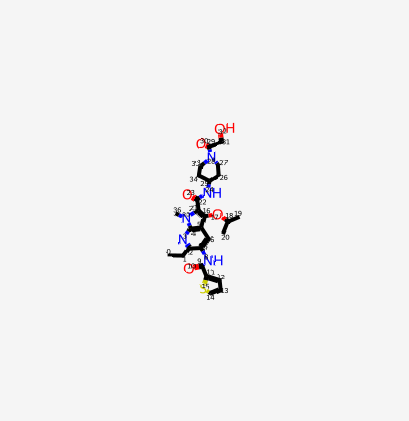 CCc1nc2c(cc1NC(=O)c1cccs1)c(OC(C)C)c(C(=O)NC1CCN(C(=O)CO)CC1)n2C